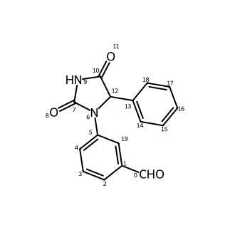 O=Cc1cccc(N2C(=O)NC(=O)C2c2ccccc2)c1